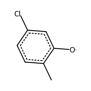 Cc1ccc(Cl)cc1[O]